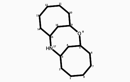 C1CCC2CC(CC1)OC1CCCCCC(C1)N2